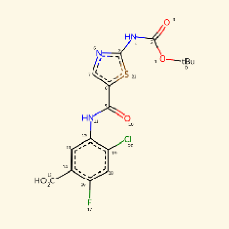 CC(C)(C)OC(=O)Nc1ncc(C(=O)Nc2cc(C(=O)O)c(F)cc2Cl)s1